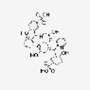 O=C(O)CN(CCN(CC(=O)O)C(c1ccccn1)c1cc(S(=O)(=O)O)ccc1O)C(c1ccccn1)c1cc(S(=O)(=O)O)ccc1O